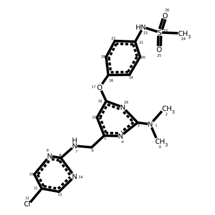 CN(C)c1nc(CNc2ncc(Cl)cn2)cc(Oc2ccc(NS(C)(=O)=O)cc2)n1